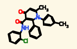 Cc1ccc(-n2c(C)cc(=O)c(C(=O)Nc3ccccc3Cl)c2-c2ccccc2)cc1